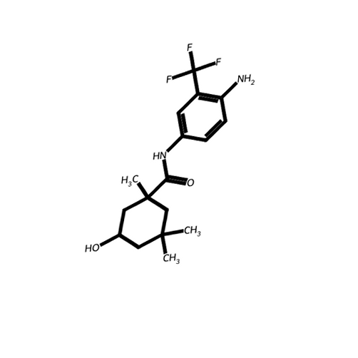 CC1(C)CC(O)CC(C)(C(=O)Nc2ccc(N)c(C(F)(F)F)c2)C1